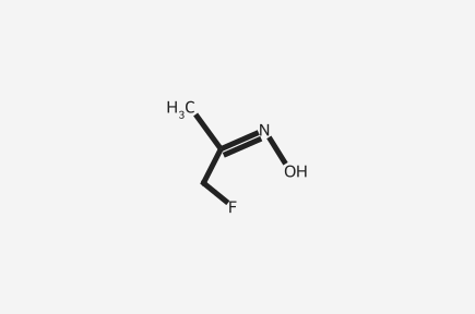 CC(CF)=NO